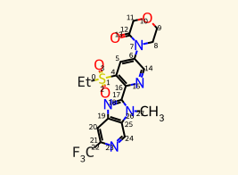 CCS(=O)(=O)c1cc(N2CCOCC2=O)cnc1-c1nc2cc(C(F)(F)F)ncc2n1C